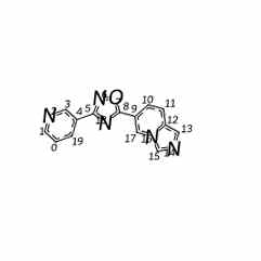 c1cncc(-c2noc(-c3ccc4cncn4c3)n2)c1